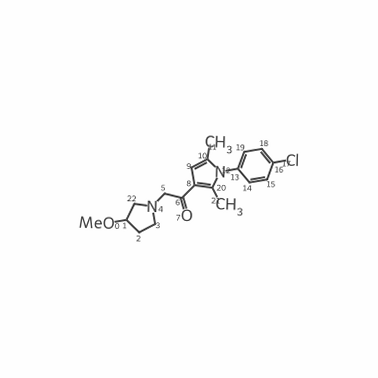 COC1CCN(CC(=O)c2cc(C)n(-c3ccc(Cl)cc3)c2C)C1